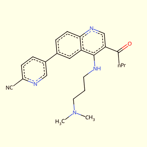 CCCC(=O)c1cnc2ccc(-c3ccc(C#N)nc3)cc2c1NCCCN(C)C